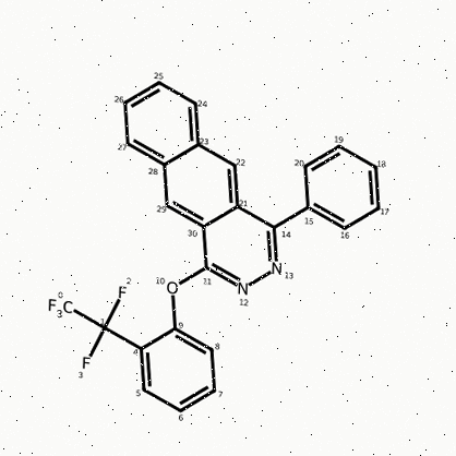 FC(F)(F)C(F)(F)c1ccccc1Oc1nnc(-c2ccccc2)c2cc3ccccc3cc12